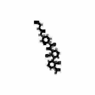 CNc1cccc(-c2cccc(NC(=O)c3ccc(CNCCO)cn3)c2Cl)c1Cl